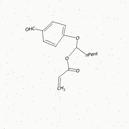 C=CC(=O)OC(CCCCC)Oc1ccc(C=O)cc1